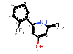 C=C1C=C(O)C=C(c2ccccc2C(F)(F)F)N1